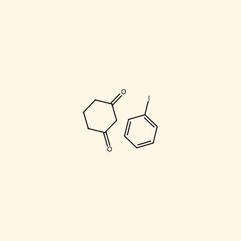 Ic1ccccc1.O=C1CCCC(=O)C1